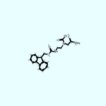 CCC(=O)N(CCNC(=O)OCC1c2ccccc2-c2ccccc21)CC(=O)NC